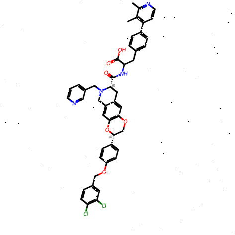 Cc1nccc(-c2ccc(CC(NC(=O)[C@@H]3Cc4cc5c(cc4CN3Cc3cccnc3)O[C@@H](c3ccc(OCc4ccc(Cl)c(Cl)c4)cc3)CO5)C(=O)O)cc2)c1C